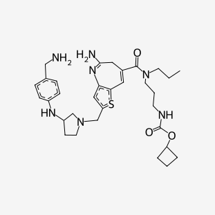 CCCN(CCCNC(=O)OC1CCC1)C(=O)C1=Cc2sc(CN3CCC(Nc4ccc(CN)cc4)C3)cc2N=C(N)C1